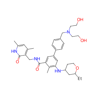 CCC1CC(Nc2cc(-c3ccc(CN(CCO)CCO)cc3)cc(C(=O)NCc3c(C)cc(C)[nH]c3=O)c2C)CCO1